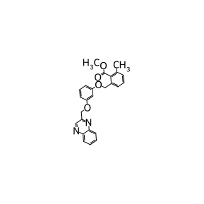 COC(=O)c1c(C)cccc1COc1cccc(OCc2cnc3ccccc3n2)c1